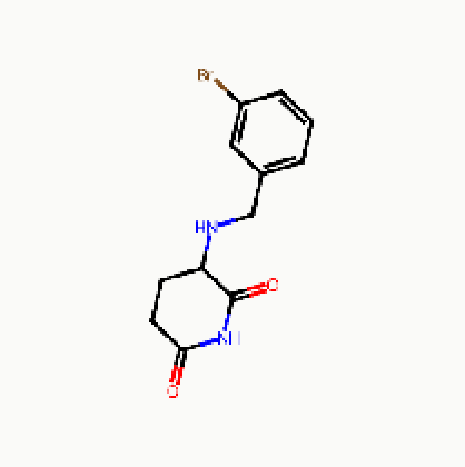 O=C1CCC(NCc2cccc(Br)c2)C(=O)N1